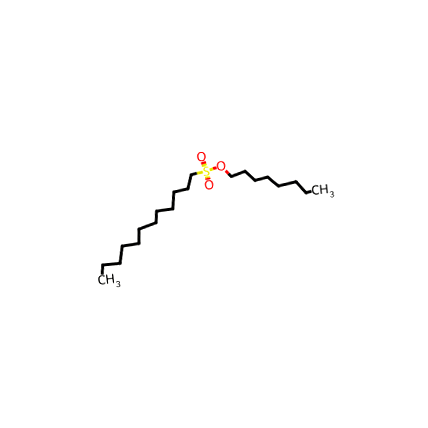 CCCCCCCCCCCCS(=O)(=O)OCCCCCCCC